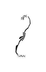 [CH2]SCC#CCCCC